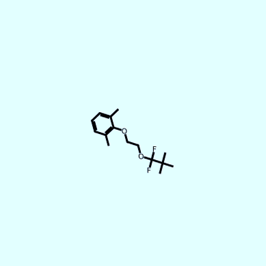 Cc1cccc(C)c1OCCOC(F)(F)C(C)(C)C